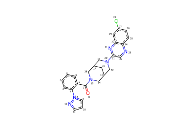 O=C(c1ccccc1-n1cccn1)N1CC2CC(C1)CN(c1cnc3ccc(Cl)cc3n1)C2